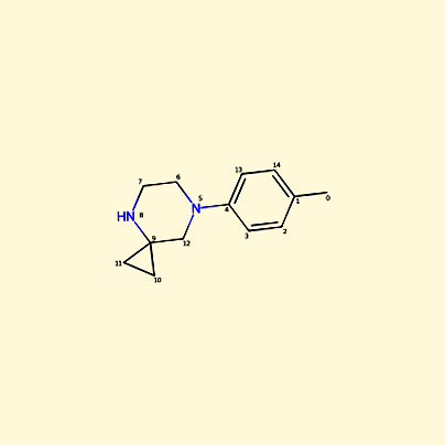 Cc1ccc(N2CCNC3(CC3)C2)cc1